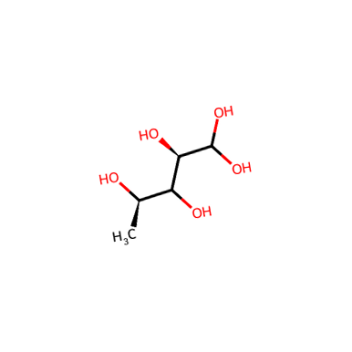 C[C@@H](O)C(O)[C@@H](O)C(O)O